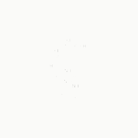 COC1CCC(C(C)NC(=O)n2cc(F)c(=O)[nH]c2=O)C(OC)C1OC